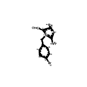 CCCc1nc(CC)c(C=O)n1Cc1ccc(Br)cc1